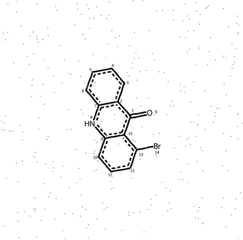 O=c1c2ccccc2[nH]c2cccc(Br)c12